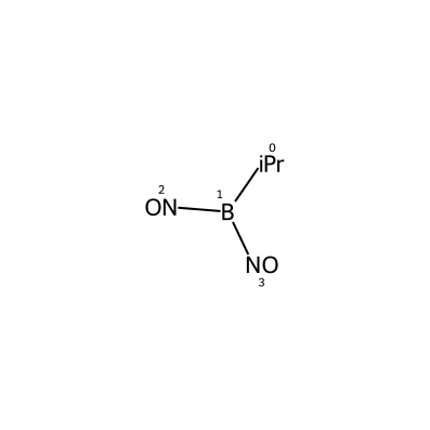 CC(C)B(N=O)N=O